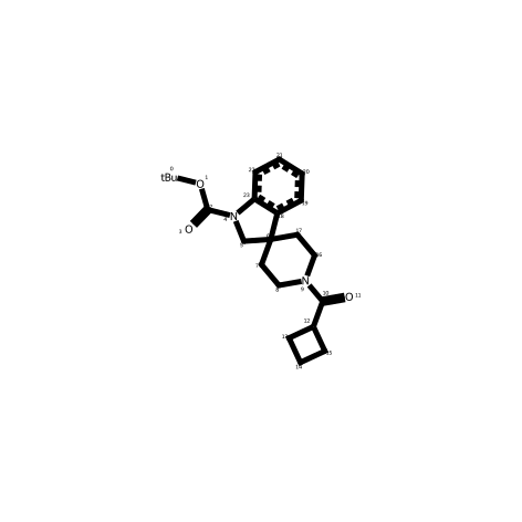 CC(C)(C)OC(=O)N1CC2(CCN(C(=O)C3CCC3)CC2)c2ccccc21